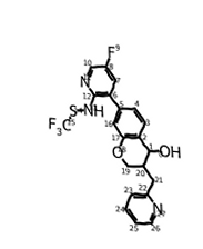 OC1c2ccc(-c3cc(F)cnc3NSC(F)(F)F)cc2OCC1Cc1ccccn1